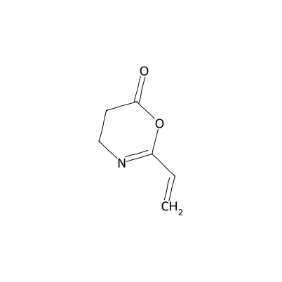 C=CC1=NCCC(=O)O1